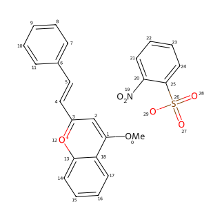 COc1cc(C=Cc2ccccc2)[o+]c2ccccc12.O=[N+]([O-])c1ccccc1S(=O)(=O)[O-]